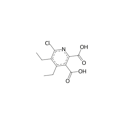 CCc1c(Cl)nc(C(=O)O)c(C(=O)O)c1CC